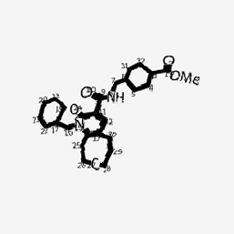 COC(=O)C1CCC(CNC(=O)c2cc3c(n(CC4CCCCC4)c2=O)CCCCCC3)CC1